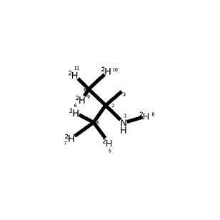 [2H]NC(C)(C([2H])([2H])[2H])C([2H])([2H])[2H]